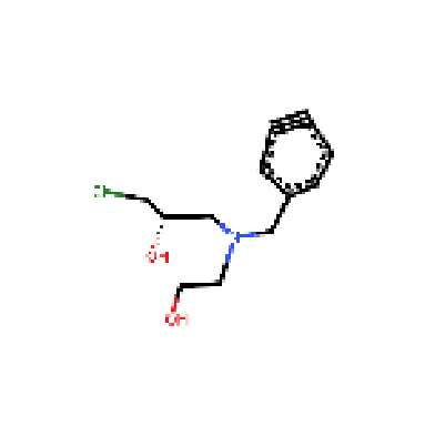 OCCN(Cc1cc#ccc1)C[C@H](O)CCl